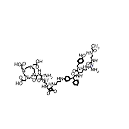 CCC(=O)NCCNC(=O)/N=C(/N)NCCC[C@@H](NC(=O)C(c1ccccc1)c1ccc(NCCCNc2c(NCCNC(=O)[C@@H](CN)NC(C=O)N3CCN(CC(=O)O)CCN(CC(=O)O)CCN(CC(=O)O)CC3)c(=O)c2=O)cc1)C(=O)NCc1ccc(O)cc1